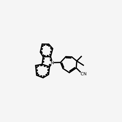 CC1(C)C=CC(n2c3ccccc3c3ccccc32)=CC=C1C#N